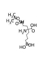 CN(C)O[SH](=O)=NCCC(N)(CCCCB(O)O)C(=O)O